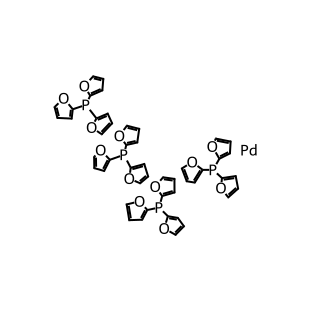 [Pd].c1coc(P(c2ccco2)c2ccco2)c1.c1coc(P(c2ccco2)c2ccco2)c1.c1coc(P(c2ccco2)c2ccco2)c1.c1coc(P(c2ccco2)c2ccco2)c1